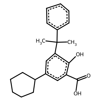 CC(C)(c1ccccc1)c1cc(C2CCCCC2)cc(C(=O)O)c1O